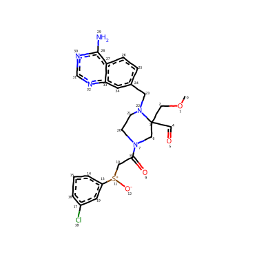 COCC1(C=O)CN(C(=O)C[S+]([O-])c2cccc(Cl)c2)CCN1Cc1ccc2c(N)ncnc2c1